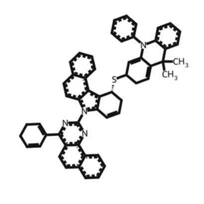 CC1(C)C2=CCC(S[C@@H]3CC=Cc4c3c3c5ccccc5ccc3n4-c3nc(C4=CCCC=C4)c4ccc5ccccc5c4n3)C=C2N(c2ccccc2)c2ccccc21